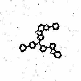 c1ccc(-c2ccc(N(c3cccc(-c4cccc5c4oc4ccccc45)c3)c3ccc4c(c3)oc3ccc5sc(-c6ccccc6)nc5c34)cc2)cc1